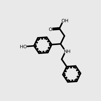 O=C(O)CC(NCc1ccccc1)c1ccc(O)cc1